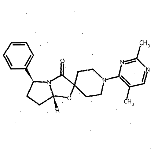 Cc1ncc(C)c(N2CCC3(CC2)O[C@@H]2CC[C@@H](c4ccccc4)N2C3=O)n1